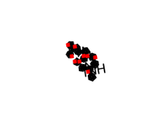 c1ccc(C2=NC(c3ccccc3)NC(c3cccc(-c4cccc(-n5c6ccc(-c7ccccc7)cc6c6c(-n7ccc8c7ccc7c9ccccc9n(-c9ccccc9)c78)cccc65)c4)c3)=N2)cc1